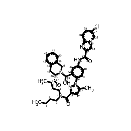 CCCCN(CCCC)C(=O)c1cc(C)n(-c2ccc(NC(=O)c3cn4cc(Cl)ccc4n3)cc2C(O)N2Cc3ccccc3C[C@H]2CO)n1